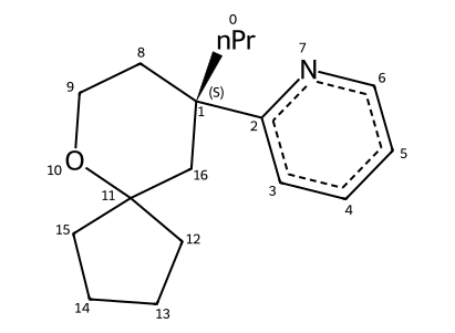 CCC[C@]1(c2ccccn2)CCOC2(CCCC2)C1